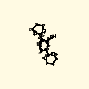 Sc1cc(B2OCCCO2)ccc1B1OCCCO1